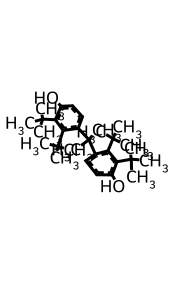 CC(C)(C)c1c(O)ccc(C(C)(C)c2ccc(O)c(C(C)(C)C)c2C(C)(C)C)c1C(C)(C)C